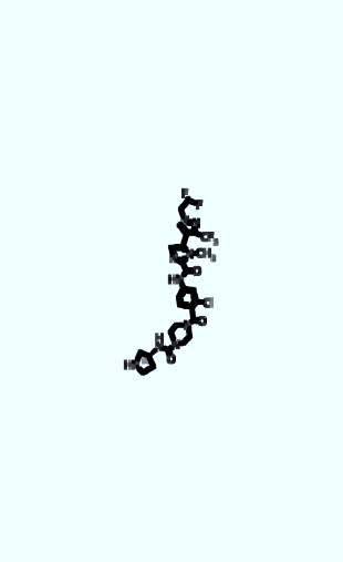 Cn1c(-c2cn(CC(F)F)nc2C(F)(F)F)cnc1C(=O)Nc1ccc(C(=O)N2CCN(C(=O)N[C@H]3CCNC3)CC2)c(Cl)c1